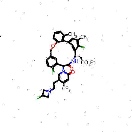 CCOC(=O)C[C@@H]1NC(=O)C(n2cc(CCN3CC(F)C3)c(C(F)(F)F)cc2=O)c2cc(ccc2F)COc2cccc(C)c2-c2cc1c(F)c(C(F)(F)F)c2